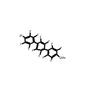 CSc1c(F)c(F)c(-c2c(F)c(F)c(-c3c(F)c(F)c(C(C)C)c(F)c3F)c(F)c2F)c(F)c1F